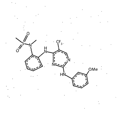 COc1cccc(Nc2ncc(C(F)(F)F)c(Nc3ccccc3N(C)S(C)(=O)=O)n2)c1